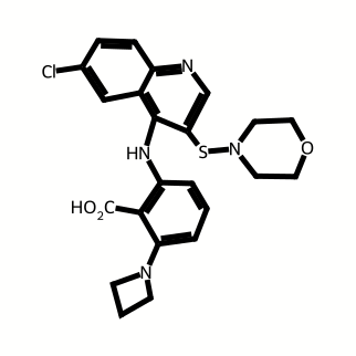 O=C(O)c1c(Nc2c(SN3CCOCC3)cnc3ccc(Cl)cc23)cccc1N1CCC1